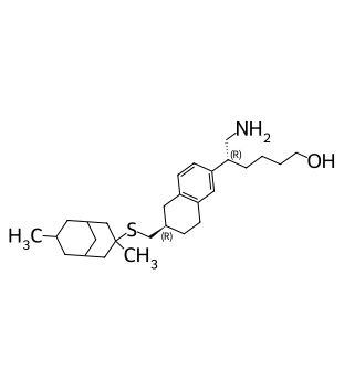 CC1CC2CC(C1)CC(C)(SC[C@@H]1CCc3cc([C@H](CN)CCCCO)ccc3C1)C2